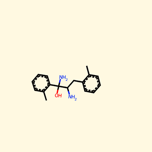 Cc1ccccc1CC(N)C(N)(O)c1ccccc1C